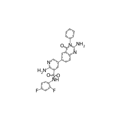 Nc1ncc(-c2ccc3nc(N)n(-c4ccccc4)c(=O)c3c2)cc1S(=O)(=O)Nc1ccc(F)cc1F